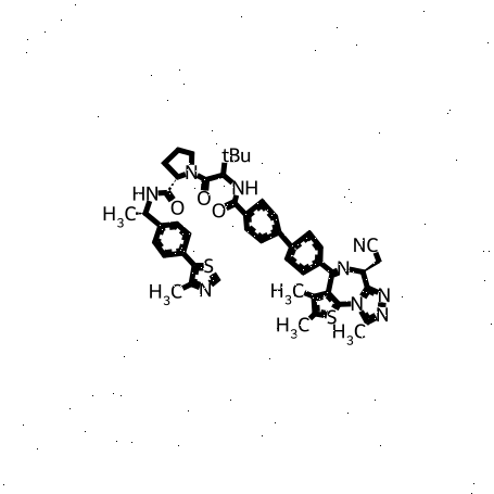 Cc1ncsc1-c1ccc([C@H](C)NC(=O)[C@@H]2CCCN2C(=O)C(NC(=O)c2ccc(-c3ccc(C4=N[C@@H](CC#N)c5nnc(C)n5-c5sc(C)c(C)c54)cc3)cc2)C(C)(C)C)cc1